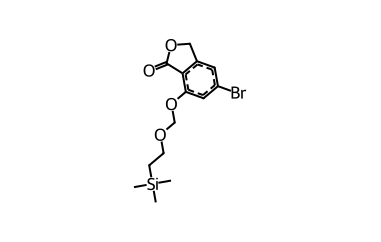 C[Si](C)(C)CCOCOc1cc(Br)cc2c1C(=O)OC2